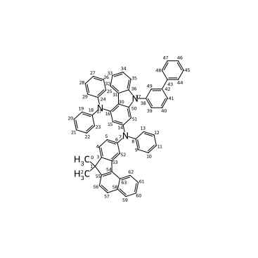 CC1(C)c2ccc(N(c3ccccc3)c3cc(N(c4ccccc4)c4ccccc4)c4c5ccccc5n(-c5cccc(-c6ccccc6)c5)c4c3)cc2-c2c1ccc1ccccc21